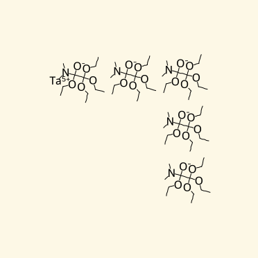 CCOC(OCC)(OCC)C([O-])(OCC)N(C)C.CCOC(OCC)(OCC)C([O-])(OCC)N(C)C.CCOC(OCC)(OCC)C([O-])(OCC)N(C)C.CCOC(OCC)(OCC)C([O-])(OCC)N(C)C.CCOC(OCC)(OCC)C([O-])(OCC)N(C)C.[Ta+5]